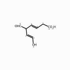 O=[C]C(C=CO)C=CCC(=O)O